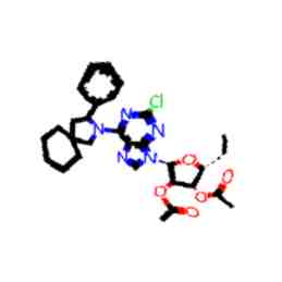 CC[C@H]1O[C@@H](n2cnc3c(N4CC5(CCCCC5)CC4c4ccccc4)nc(Cl)nc32)C(OC(C)=O)[C@H]1OC(C)=O